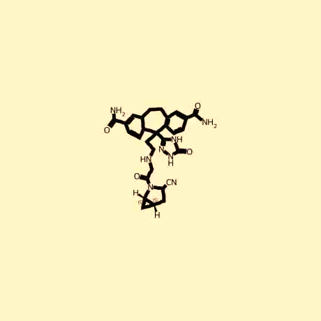 N#CC1C[C@@H]2C[C@@H]2N1C(=O)CNCCC1(c2n[nH]c(=O)[nH]2)c2ccc(C(N)=O)cc2CCC2C=C(C(N)=O)C=CC21